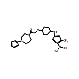 O=C(COC1CCC(Nc2ccc(N(O)O)c(C(F)(F)F)c2)CC1)N1CCCN(c2ccccc2)CC1